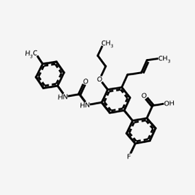 CC=CCc1cc(-c2cc(F)ccc2C(=O)O)cc(NC(=O)Nc2ccc(C)cc2)c1OCCC